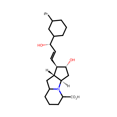 CC(C)C1CCCC([C@@H](O)/C=C/[C@@H]2[C@H]3CC4CCCC(C(=O)O)N4[C@@H]3C[C@H]2O)C1